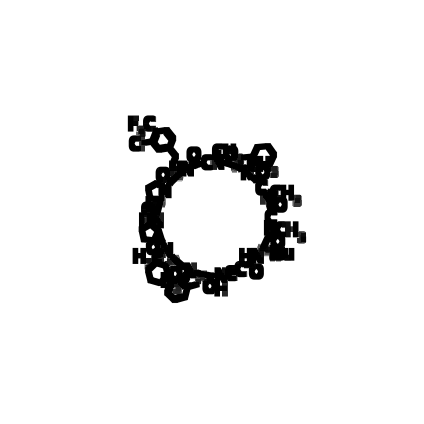 CC[C@H](C)[C@@H]1NC(=O)CCNC(=O)[C@H](Cc2ccccc2)N(C)C(=O)[C@H](C2CCCCC2)N(C)C(=O)C2(CCCC2)NC(=O)[C@@H]2CCCN2C(=O)[C@H](CCc2ccc(C(F)(F)F)c(Cl)c2)NC(=O)CN(C)C(=O)[C@H](CC2CCCCC2)N(C)C(=O)CN(C)C(=O)CN(C)C1=O